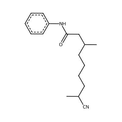 CC(C#N)CCCCC(C)CC(=O)Nc1ccccc1